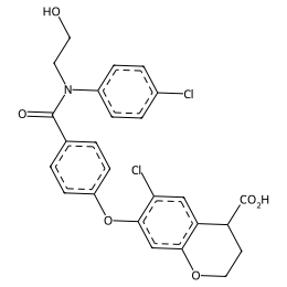 O=C(O)C1CCOc2cc(Oc3ccc(C(=O)N(CCO)c4ccc(Cl)cc4)cc3)c(Cl)cc21